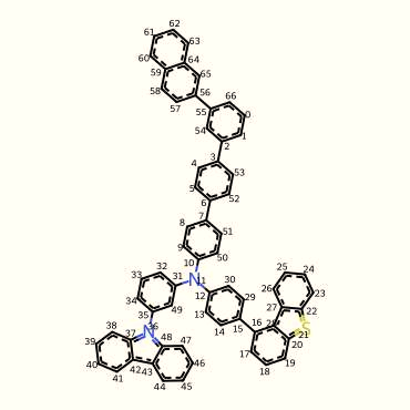 c1cc(-c2ccc(-c3ccc(N(c4ccc(-c5cccc6sc7ccccc7c56)cc4)c4cccc(-n5c6ccccc6c6ccccc65)c4)cc3)cc2)cc(-c2ccc3ccccc3c2)c1